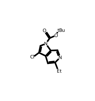 CCc1cc2c(Cl)cn(C(=O)OC(C)(C)C)c2cn1